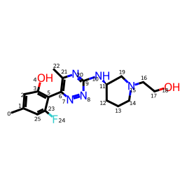 Cc1cc(O)c(-c2nnc(N[C@@H]3CCCN(CCO)C3)nc2C)c(F)c1